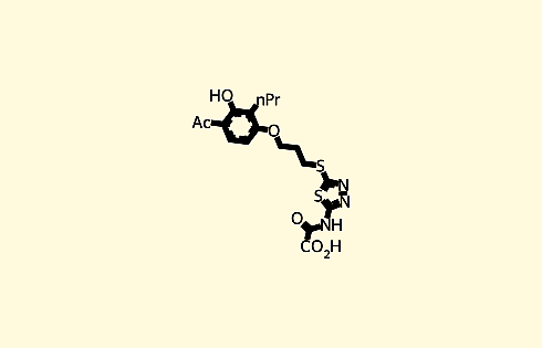 CCCc1c(OCCCSc2nnc(NC(=O)C(=O)O)s2)ccc(C(C)=O)c1O